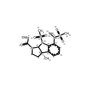 COC(=O)N1CC[C@]2(C)c3cccc(N(N)S(C)(=O)=O)c3N(S(C)(=O)=O)C12